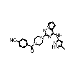 Cc1cc(Nc2nc(N3CCN(C(=O)c4ccc(C#N)cc4)CC3)nn3cccc23)n[nH]1